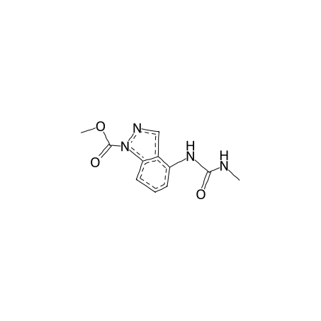 CNC(=O)Nc1cccc2c1cnn2C(=O)OC